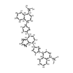 CN(C)c1ccc(-c2ccc(-c3ccc(-c4ccc(-c5ccc(N(C)C)c6ccccc56)s4)c4nsnc34)s2)c2ccccc12